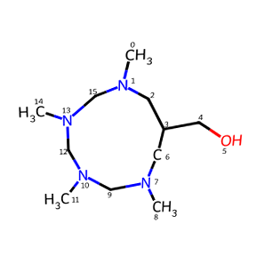 CN1CC(CO)CN(C)CN(C)CN(C)C1